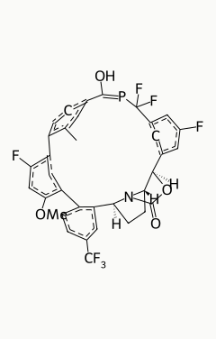 COc1cc(F)c2cc1-c1ccc(C(F)(F)F)cc1[C@@H]1CC[C@H]3[C@H](OC(=O)N13)c1cc(F)cc(c1)C(F)(F)/P=C(/O)c1ccc-2c(C)c1